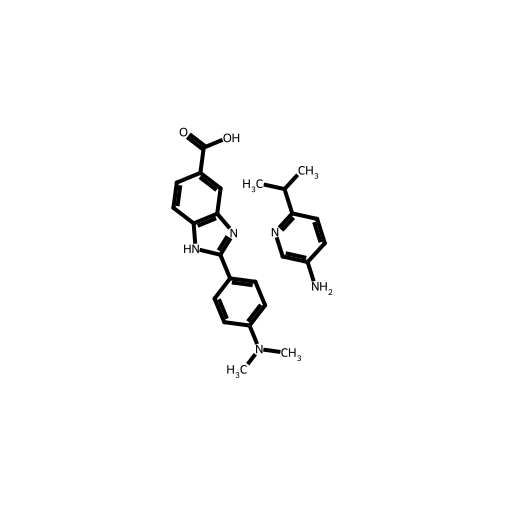 CC(C)c1ccc(N)cn1.CN(C)c1ccc(-c2nc3cc(C(=O)O)ccc3[nH]2)cc1